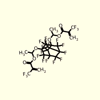 C=C(C(=O)OC(C)OC12C(F)(F)C3(F)C(F)(F)C(F)(C1(F)F)C(F)(F)C(OC(C)OC(=O)C(=C)C(F)(F)F)(C3(F)F)C2(F)F)C(F)(F)F